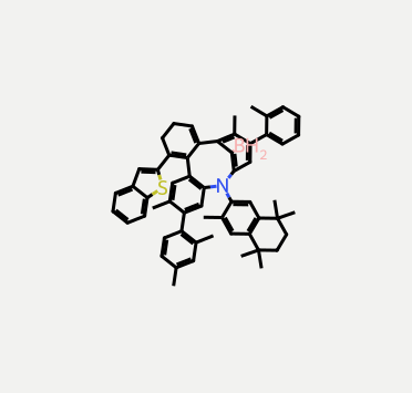 Bc1c2cc(-c3ccccc3C)c(C)c1C1=CCCC(c3cc4ccccc4s3)=C1c1cc(C)c(-c3ccc(C)cc3C)cc1N2c1cc2c(cc1C)C(C)(C)CCC2(C)C